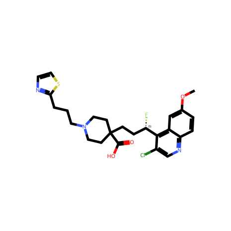 COc1ccc2ncc(Cl)c([C@@H](F)CCC3(C(=O)O)CCN(CCCc4nccs4)CC3)c2c1